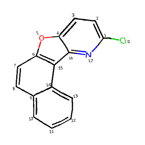 Clc1ccc2oc3ccc4ccccc4c3c2n1